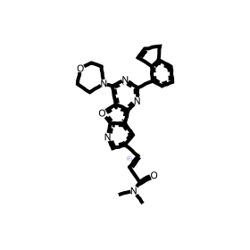 CN(C)C(=O)/C=C/c1cnc2oc3c(N4CCOCC4)nc(-c4cccc5c4C=CC5)nc3c2c1